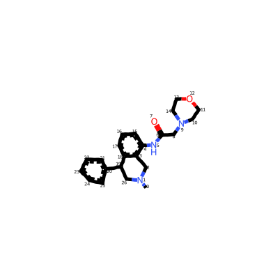 CN1Cc2c(NC(=O)CN3CCOCC3)cccc2C(c2ccccc2)C1